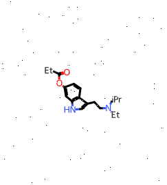 CCC(=O)Oc1ccc2c(CCN(CC)C(C)C)c[nH]c2c1